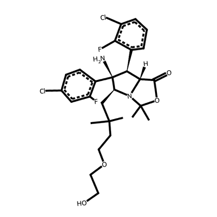 CC(C)(CCOCCO)C[C@@H]1N2[C@@H](C(=O)OC2(C)C)[C@H](c2cccc(Cl)c2F)[C@@]1(N)c1ccc(Cl)cc1F